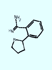 N=C(N)c1ccccc1C1CCC[N]1